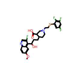 COc1ccc2ncc(F)c(C(O)CCC3CCN(CCSc4cc(F)cc(F)c4F)CC3C(=O)O)c2c1